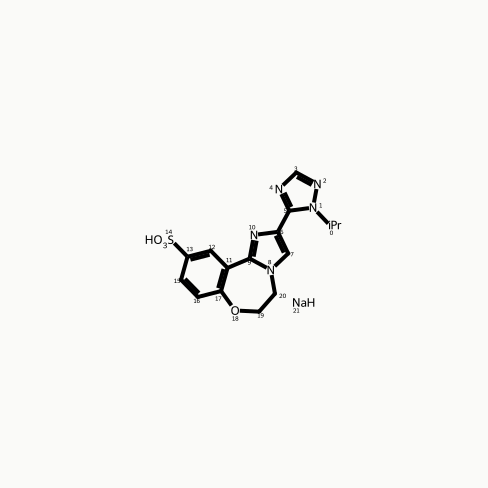 CC(C)n1ncnc1-c1cn2c(n1)-c1cc(S(=O)(=O)O)ccc1OCC2.[NaH]